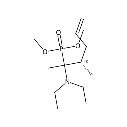 C=CC[C@H](C)C(C)(N(CC)CC)P(=O)(OC)OC